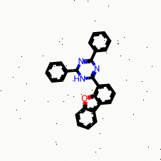 c1ccc(C2=NC(c3ccccc3)NC(c3cccc4c3oc3ccccc34)=N2)cc1